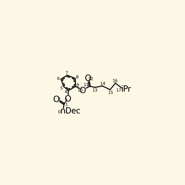 CCCCCCCCCCC(=O)Oc1ccccc1OC(=O)CCCCC(C)C